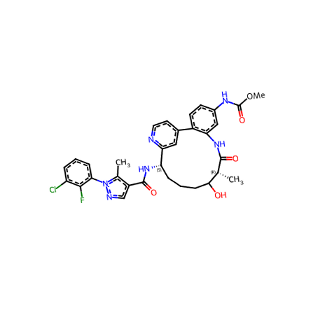 COC(=O)Nc1ccc2c(c1)NC(=O)[C@H](C)C(O)CCC[C@H](NC(=O)c1cnn(-c3cccc(Cl)c3F)c1C)c1cc-2ccn1